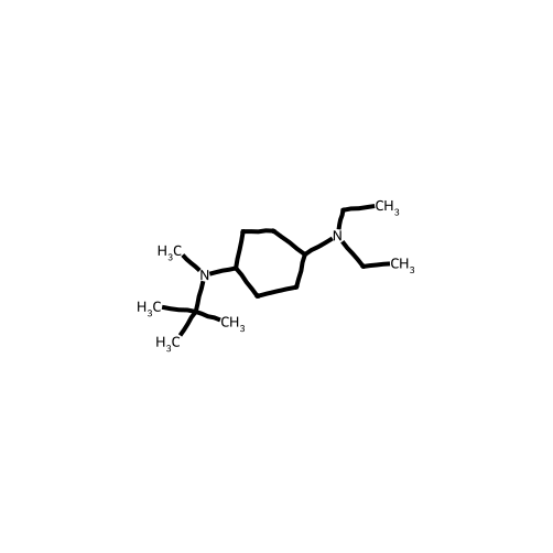 CCN(CC)C1CCC(N(C)C(C)(C)C)CC1